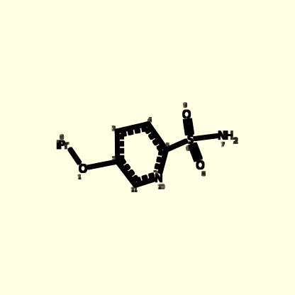 CC(C)Oc1ccc(S(N)(=O)=O)nc1